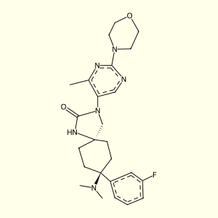 Cc1nc(N2CCOCC2)ncc1N1C[C@]2(CC[C@](c3cccc(F)c3)(N(C)C)CC2)NC1=O